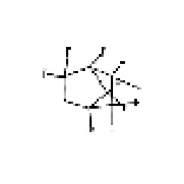 FC1(F)CC2(F)C(F)(F)C(F)(F)C1(F)C2(F)F